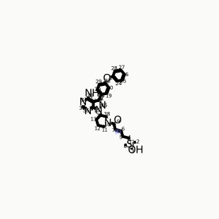 C[Si](C)(O)CC/C=C/C(=O)N1CCCC(n2nc(-c3ccc(Oc4ccccc4)cc3)c3c(N)ncnc32)C1